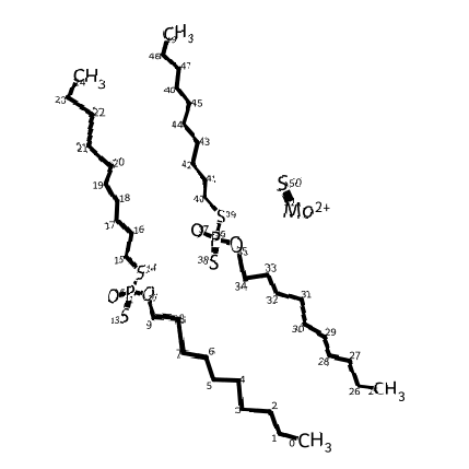 CCCCCCCCCCOP([O-])(=S)SCCCCCCCCCC.CCCCCCCCCCOP([O-])(=S)SCCCCCCCCCC.[S]=[Mo+2]